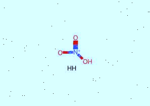 O=[N+]([O-])O.[HH]